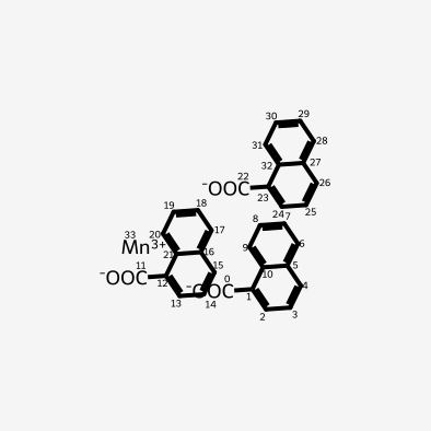 O=C([O-])c1cccc2ccccc12.O=C([O-])c1cccc2ccccc12.O=C([O-])c1cccc2ccccc12.[Mn+3]